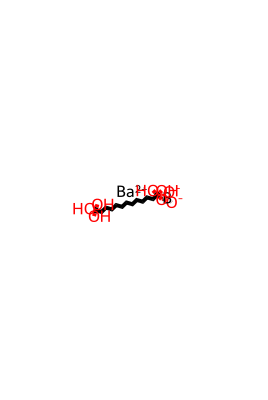 [Ba+2].[O-]B([O-])OC(O)(O)CCCCCCCCCCCC(O)(O)O